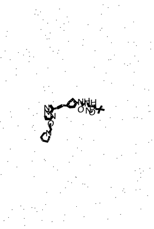 CC(C)(C)c1cc(NC(=O)Nc2ccc(C#Cc3cnn4ccc(OCCN5CCCCC5)nc34)cc2)no1